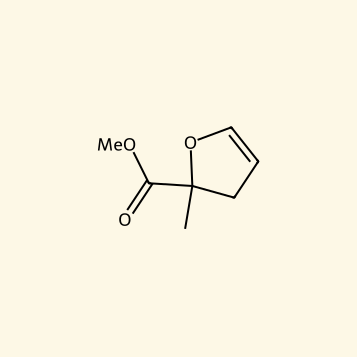 COC(=O)C1(C)CC=CO1